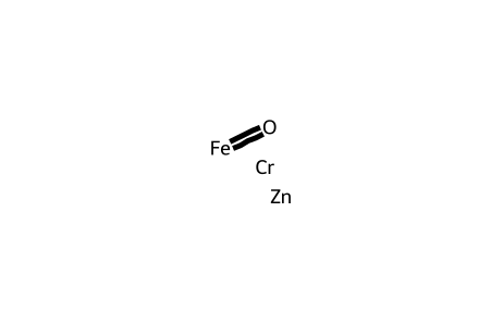 [Cr].[O]=[Fe].[Zn]